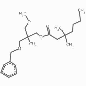 CCCCC(C)(C)CC(=O)OCC(C)(COC)COCc1ccccc1